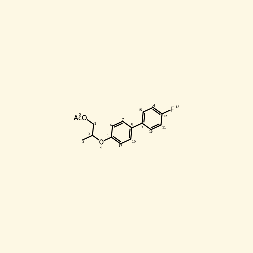 CC(=O)OCC(C)Oc1ccc(-c2ccc(F)cc2)cc1